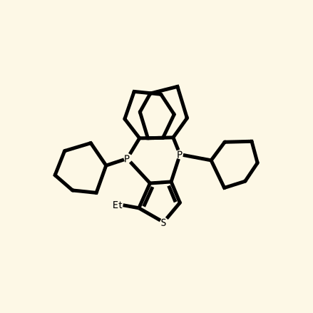 CCc1scc(P(C2CCCCC2)C2CCCCC2)c1P(C1CCCCC1)C1CCCCC1